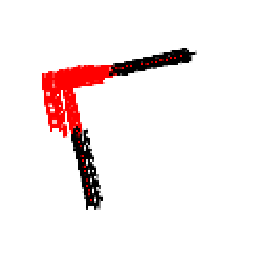 O.O.O.O.O.O.O.O.O.O.O.O.O.O.O.O.O.O.O.O.O.O.O.O.O.O.O.O.O.O.O.O.O.O.O.O.O.O.O.[Ar].[Ar].[Ar].[Ar].[Ar].[Ar].[Ar].[Ar].[Ar].[Ar].[Ar].[Ar].[Ar].[Ar].[Ar].[Ar].[Ar].[Ar].[Ar].[Ar].[Ar].[Ar].[Ar].[Ar].[Ar].[Ar].[Ar].[Ar].[Ar].[Ar].[Ar].[Ar].[Ar].[Ar].[Ar].[Ar].[Ar].[Ar].[Ar].[Ar].[Ar].[Ar].[Ar].[Ar].[Ar].[Ar].[Ar].[Ar].[Ar].[Ar].[Ar].[Ar].[Ar].[Ar].[Ar].[Ar].[Ar].[Ar].[Ar].[Ar].[O]